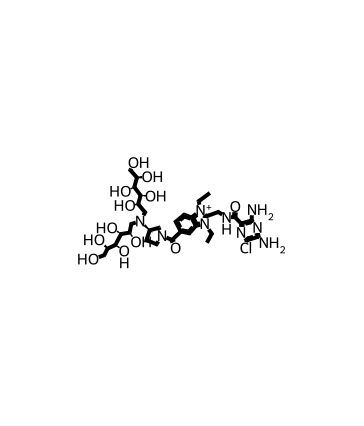 CCn1c(CNC(=O)c2nc(Cl)c(N)nc2N)[n+](CC)c2ccc(C(=O)N3CC[C@@H](N(C[C@H](O)[C@@H](O)[C@H](O)[C@H](O)CO)C[C@H](O)[C@@H](O)[C@H](O)[C@H](O)CO)C3)cc21